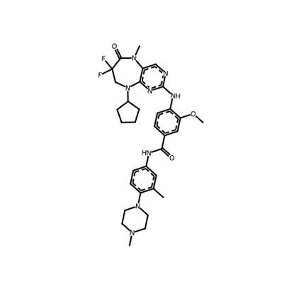 COc1cc(C(=O)Nc2ccc(N3CCN(C)CC3)c(C)c2)ccc1Nc1ncc2c(n1)N(C1CCCC1)CC(F)(F)C(=O)N2C